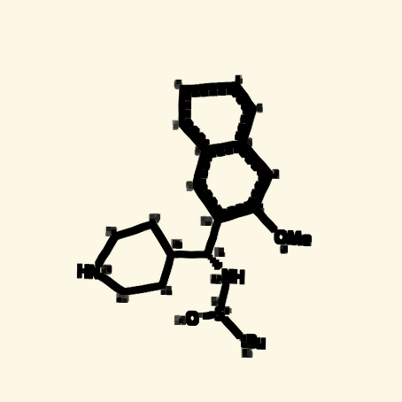 COc1cc2ccccc2cc1[C@H](N[S+]([O-])C(C)(C)C)C1CCNCC1